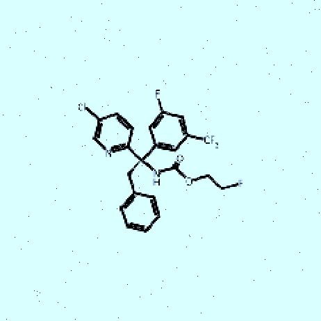 O=C(N[C@@](Cc1ccccc1)(c1cc(F)cc(C(F)(F)F)c1)c1ccc(Cl)cn1)OCCF